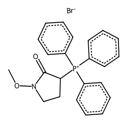 CON1CCC([P+](c2ccccc2)(c2ccccc2)c2ccccc2)C1=O.[Br-]